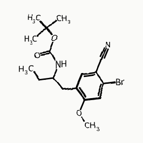 CCC(Cc1cc(C#N)c(Br)cc1OC)NC(=O)OC(C)(C)C